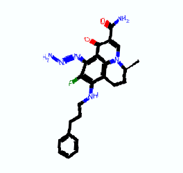 C[C@H]1CCc2c(NCCCc3ccccc3)c(F)c(N=NN)c3c(=O)c(C(N)=O)cn1c23